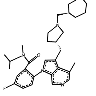 Cc1cncc2c1c(C[C@@H]1CCN(C[C@@H]3CCCOC3)C1)cn2-c1ccc(F)cc1C(=O)N(C)C(C)C